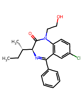 CC[C@H](C)[C@@H]1N=C(c2ccccc2)c2cc(Cl)ccc2N(CCO)C1=O